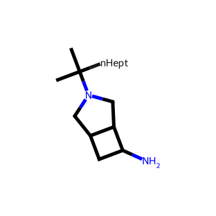 CCCCCCCC(C)(C)N1CC2CC(N)C2C1